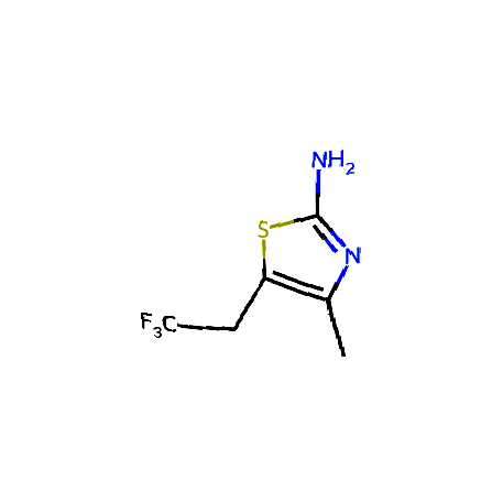 Cc1nc(N)sc1CC(F)(F)F